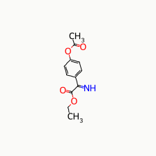 CCOC(=O)C(=N)c1ccc(OC(C)=O)cc1